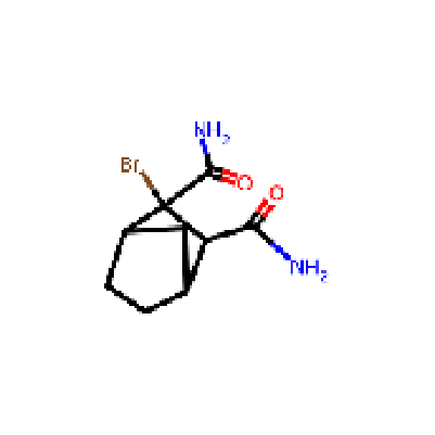 NC(=O)C1C2CCC(C2)C1(Br)C(N)=O